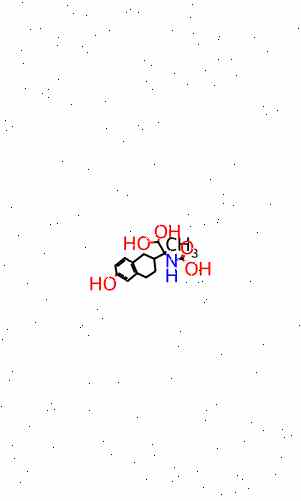 CC(NC(=O)O)(C(O)O)C1CCc2cc(O)ccc2C1